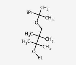 CCOC(C)(C)C(C)(C)COC(C)(C)C(C)C